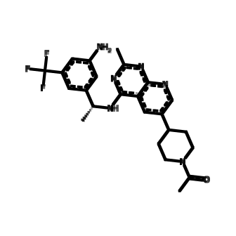 CC(=O)N1CCC(c2cnc3nc(C)nc(N[C@H](C)c4cc(N)cc(C(F)(F)F)c4)c3c2)CC1